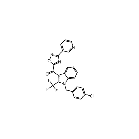 O=C(c1nc(-c2cccnc2)no1)c1c(C(F)(F)F)n(Cc2ccc(Cl)cc2)c2ccccc12